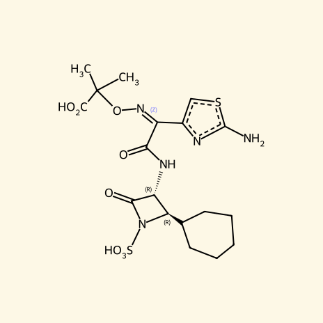 CC(C)(O/N=C(\C(=O)N[C@H]1C(=O)N(S(=O)(=O)O)[C@@H]1C1CCCCC1)c1csc(N)n1)C(=O)O